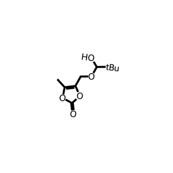 Cc1oc(=O)oc1COC(O)C(C)(C)C